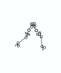 C=CC(=O)OCCCCCCOc1cnc(-c2ccc(CO[C@@H]3OCCO[C@H]3OCc3ccc(-c4ncc(OCCCCCCOC(=O)C=C)cn4)cc3)cc2)nc1